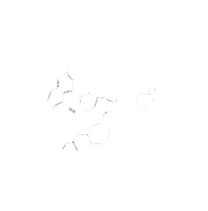 C#Cc1c(F)ccc2cc(O)cc(N3CCc4c(nc(OC[C@@H]5C[C@@H](F)CN5C)nc4N4CCCCC(NC(=O)C=C)C4)C3)c12